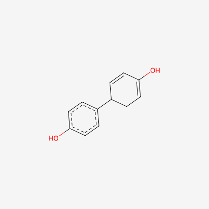 OC1=CCC(c2ccc(O)cc2)C=C1